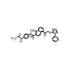 CC(=O)Nc1ccc(NC(=O)c2ccc3c(C(=O)CSc4nnnn4-c4ccccc4)cccc3c2O)cc1